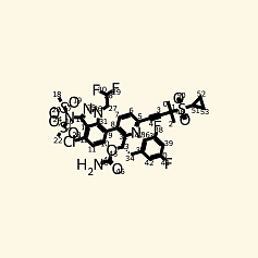 CC(C)(C#Cc1ccc(-c2ccc(Cl)c3c(N(S(C)(=O)=O)S(C)(=O)=O)nn(CC(F)F)c23)c([C@H](Cc2cc(F)cc(F)c2)OC(N)=O)n1)S(=O)(=O)C1CC1